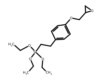 CCO[Si](CCc1ccc(OCC2CO2)cc1)(OCC)OCC